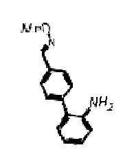 CON=Cc1ccc(-c2ccccc2N)cc1